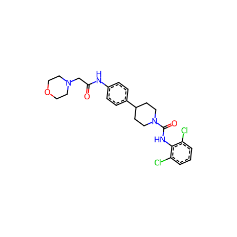 O=C(CN1CCOCC1)Nc1ccc(C2CCN(C(=O)Nc3c(Cl)cccc3Cl)CC2)cc1